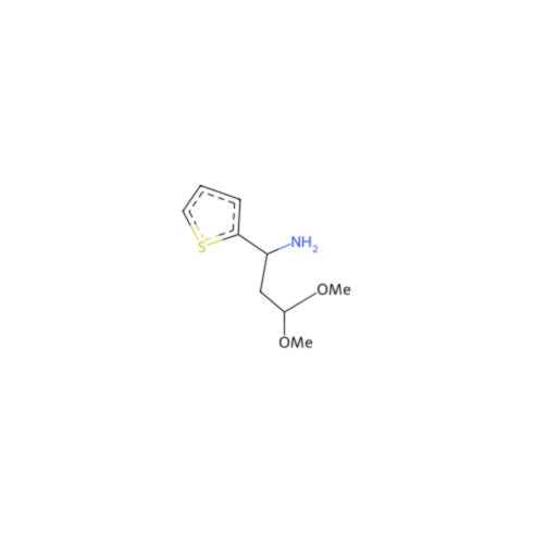 COC(CC(N)c1cccs1)OC